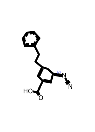 N#C/N=C1\C=C(C(=O)O)C=C(CCc2ccccc2)C1